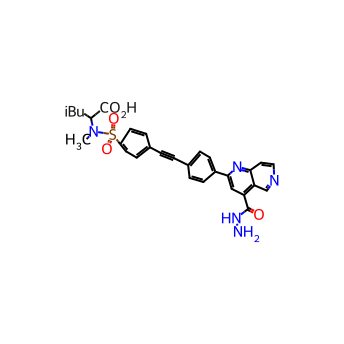 CCC(C)C(C(=O)O)N(C)S(=O)(=O)c1ccc(C#Cc2ccc(-c3cc(C(=O)NN)c4cnccc4n3)cc2)cc1